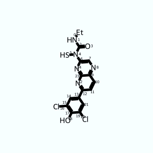 CCNC(=O)N(S)c1cnc2ccc(-c3cc(Cl)c(O)c(Cl)c3)nc2n1